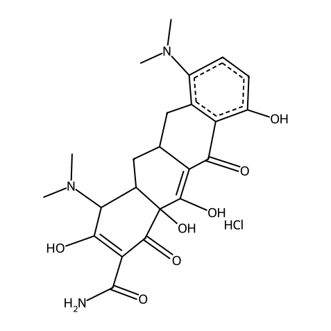 CN(C)c1ccc(O)c2c1CC1CC3C(N(C)C)C(O)=C(C(N)=O)C(=O)C3(O)C(O)=C1C2=O.Cl